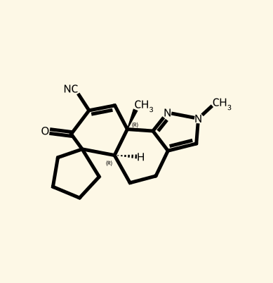 Cn1cc2c(n1)[C@@]1(C)C=C(C#N)C(=O)C3(CCCC3)[C@@H]1CC2